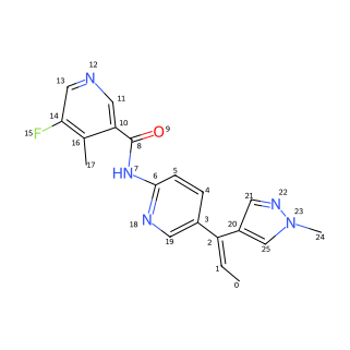 CC=C(c1ccc(NC(=O)c2cncc(F)c2C)nc1)c1cnn(C)c1